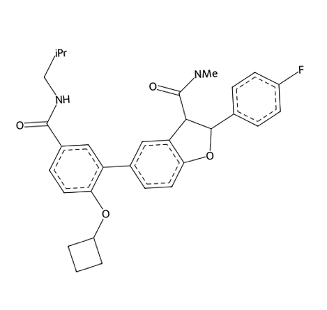 CNC(=O)C1c2cc(-c3cc(C(=O)NCC(C)C)ccc3OC3CCC3)ccc2OC1c1ccc(F)cc1